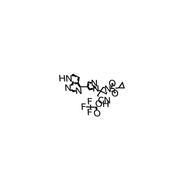 N#CCC1(n2cc(-c3ncnc4[nH]ccc34)cn2)CN(S(=O)(=O)C2CC2)C1.O=C(O)C(F)(F)F